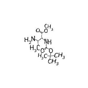 COC(=O)C(NC(=O)OC(C)(C)C)C(C)N